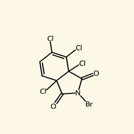 O=C1N(Br)C(=O)C2(Cl)C(Cl)=C(Cl)C=CC12Cl